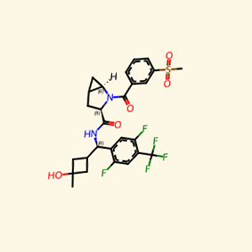 CC1(O)CC([C@@H](NC(=O)[C@H]2CC3C[C@H]3N2C(=O)c2cccc(S(C)(=O)=O)c2)c2cc(F)c(C(F)(F)F)cc2F)C1